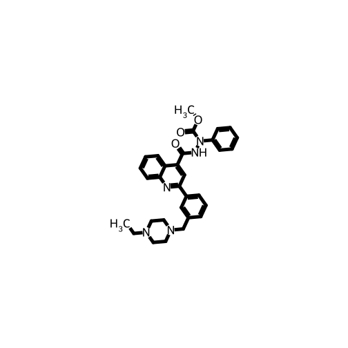 CCN1CCN(Cc2cccc(-c3cc(C(=O)NN(C(=O)OC)c4ccccc4)c4ccccc4n3)c2)CC1